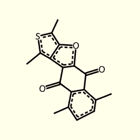 Cc1ccc(C)c2c1C(=O)c1oc3c(C)sc(C)c3c1C2=O